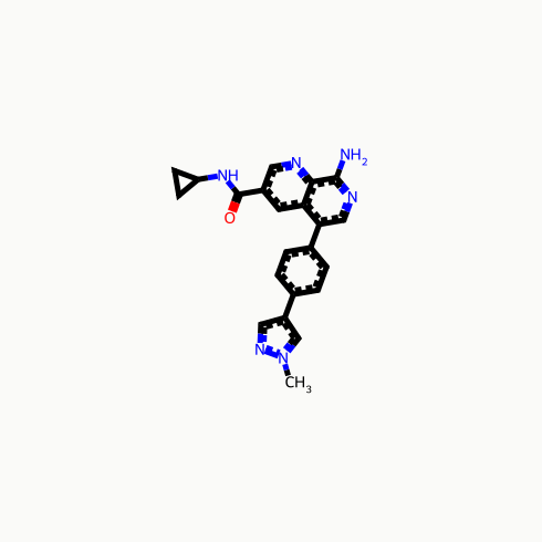 Cn1cc(-c2ccc(-c3cnc(N)c4ncc(C(=O)NC5CC5)cc34)cc2)cn1